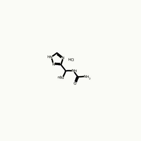 CCCCC(NC(N)=O)c1nc[nH]n1.Cl